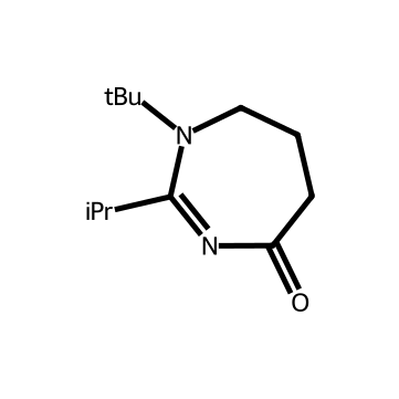 CC(C)C1=NC(=O)CCCN1C(C)(C)C